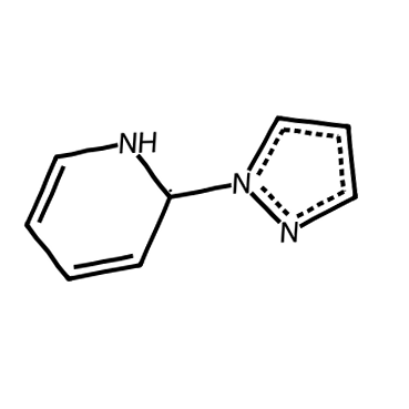 C1=CN[C](n2cccn2)C=C1